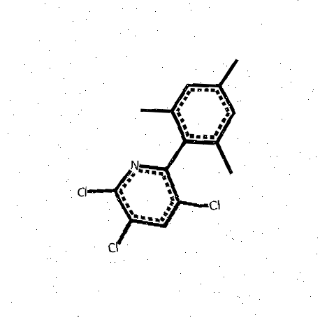 Cc1cc(C)c(-c2nc(Cl)c(Cl)cc2Cl)c(C)c1